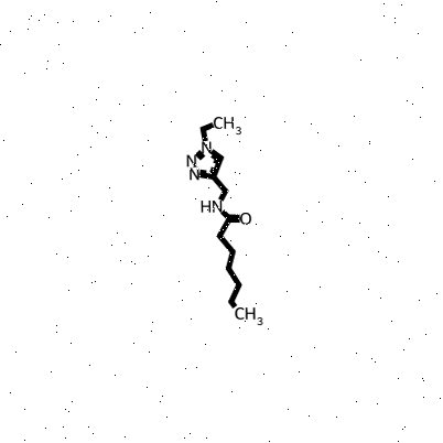 CCCCCCC(=O)NCc1cn(CC)nn1